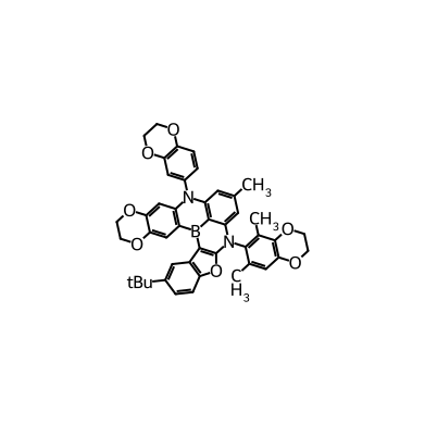 Cc1cc2c3c(c1)N(c1c(C)cc4c(c1C)OCCO4)c1oc4ccc(C(C)(C)C)cc4c1B3c1cc3c(cc1N2c1ccc2c(c1)OCCO2)OCCO3